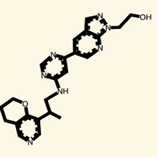 CC(CNc1cc(-c2cnc3c(cnn3CCO)c2)ncn1)c1cncc2c1OCCC2